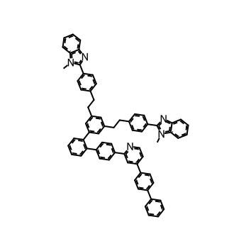 Cn1c(-c2ccc(CCc3cc(CCc4ccc(-c5nc6ccccc6n5C)cc4)cc(-c4ccccc4-c4ccc(-c5cc(-c6ccc(-c7ccccc7)cc6)ccn5)cc4)c3)cc2)nc2ccccc21